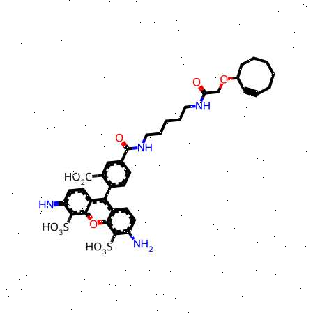 N=c1ccc2c(-c3ccc(C(=O)NCCCCCNC(=O)COC4C#CCCCCC4)cc3C(=O)O)c3ccc(N)c(S(=O)(=O)O)c3oc-2c1S(=O)(=O)O